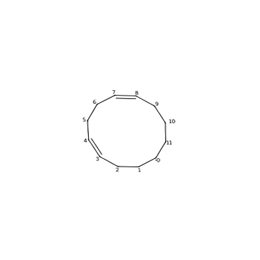 [CH]1CCC=CCCC=CCCC1